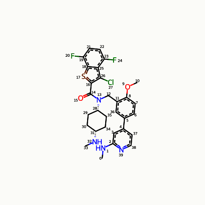 CNc1cc(-c2ccc(OC)c(CN(C(=O)c3sc4c(F)ccc(F)c4c3Cl)[C@H]3CC[C@@H](NC)CC3)c2)ccn1